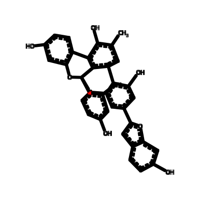 Cc1cc2c3c(c1O)-c1ccc(O)cc1OC3(c1ccc(O)cc1O)Oc1cc(-c3cc4ccc(O)cc4o3)cc(O)c1-2